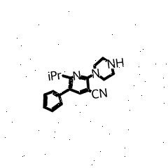 CC(C)c1nc(N2CCNCC2)c(C#N)cc1-c1ccccc1